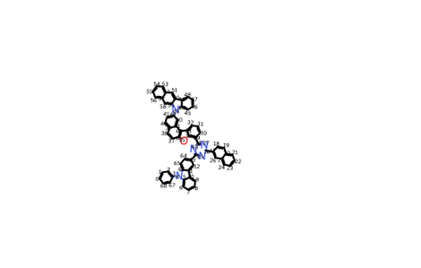 c1ccc(-n2c3ccccc3c3cc(-c4nc(-c5ccc6ccccc6c5)nc(-c5cccc6c5oc5ccc7ccc(-n8c9ccccc9c9cc%10ccccc%10cc98)cc7c56)n4)ccc32)cc1